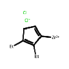 CCC1=C(CC)[C]([Zr+2])=CC1.[Cl-].[Cl-]